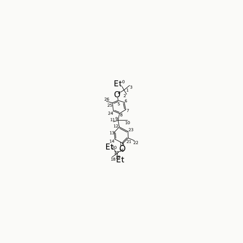 CCC(C)(C)Oc1ccc(C(C)(C)c2ccc(OC(C)(CC)CC)c(C)c2)cc1C